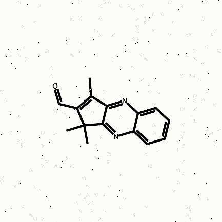 CC1=C(C=O)C(C)(C)c2nc3ccccc3nc21